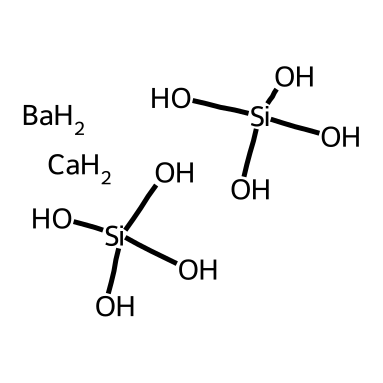 O[Si](O)(O)O.O[Si](O)(O)O.[BaH2].[CaH2]